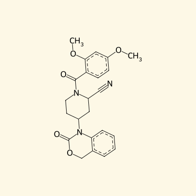 COc1ccc(C(=O)N2CCC(N3C(=O)OCc4ccccc43)CC2C#N)c(OC)c1